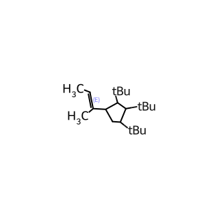 C/C=C(\C)C1CC(C(C)(C)C)C(C(C)(C)C)C1C(C)(C)C